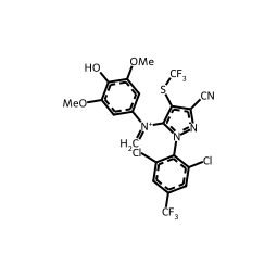 C=[N+](c1cc(OC)c(O)c(OC)c1)c1c(SC(F)(F)F)c(C#N)nn1-c1c(Cl)cc(C(F)(F)F)cc1Cl